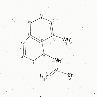 C=C(CC)NC1CC=CC2=C1C(N)=CCC2